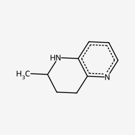 CC1CCc2ncccc2N1